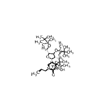 C=CCn1cc([C@@H]2O[C@H](CO[Si](C)(C)C(C)(C)C)C(O[Si](C)(C)C(C)(C)C)[C@@H]2CC(C)(C)[Si](C)(C)O)c(=O)[nH]c1=O